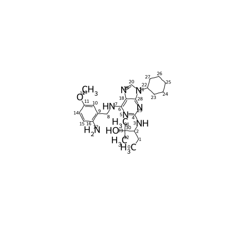 CCC(Nc1nc(NCc2cc(OC)ccc2N)c2ncn(C3CCCCC3)c2n1)C(C)(C)O